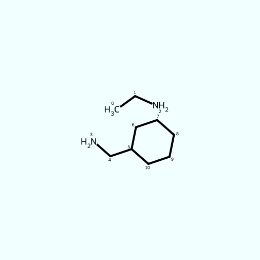 CCN.NCC1CCCCC1